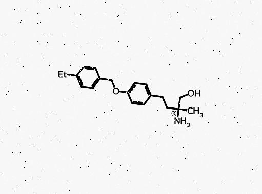 CCc1ccc(COc2ccc(CC[C@@](C)(N)CO)cc2)cc1